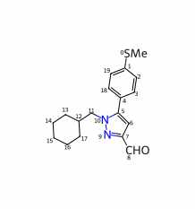 CSc1ccc(-c2cc(C=O)nn2CC2CCCCC2)cc1